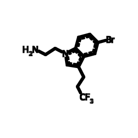 NCCn1cc(CCC(F)(F)F)c2cc(Br)ccc21